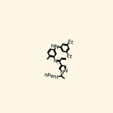 C=C/C(=N\c1cc(Nc2cc(CC)cc(CC)c2)ccc1C)c1cnn(C(C)CCCCC)c1